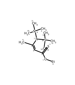 CCOC(=S)/C=C(/C)N([Si](C)(C)C)[Si](C)(C)C